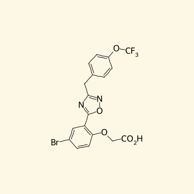 O=C(O)COc1ccc(Br)cc1-c1nc(Cc2ccc(OC(F)(F)F)cc2)no1